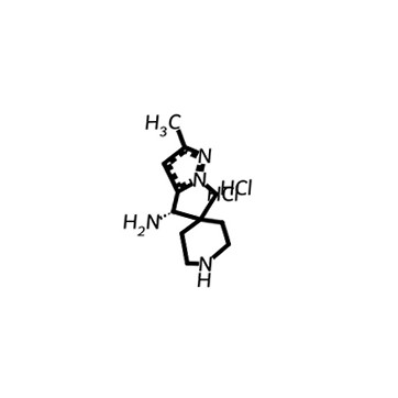 Cc1cc2n(n1)CC1(CCNCC1)[C@@H]2N.Cl.Cl